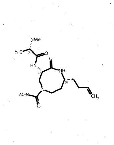 C=CCC[C@@H]1CCN(C(=O)NC)C[C@H](NC(=O)[C@H](C)NC)C(=O)N1